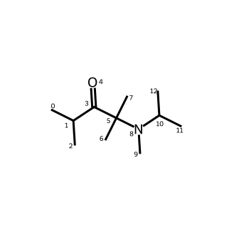 CC(C)C(=O)C(C)(C)N(C)C(C)C